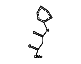 COC(=O)CC(=O)[N]c1ccccc1